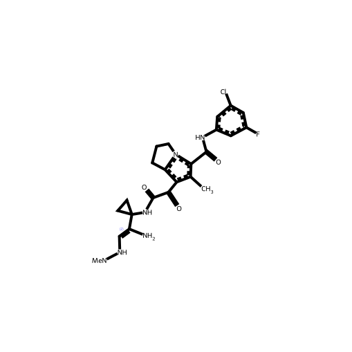 CNN/C=C(\N)C1(NC(=O)C(=O)c2c(C)c(C(=O)Nc3cc(F)cc(Cl)c3)n3c2CCC3)CC1